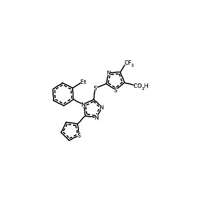 CCc1ccccc1-n1c(Sc2nc(C(F)(F)F)c(C(=O)O)s2)nnc1-c1cccs1